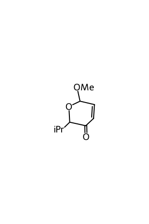 COC1C=CC(=O)C(C(C)C)O1